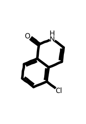 O=c1[nH]ccc2c(Cl)cccc12